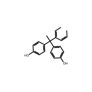 C/C=C\C(=C/C)C(C)(c1ccc(O)cc1)c1ccc(O)cc1